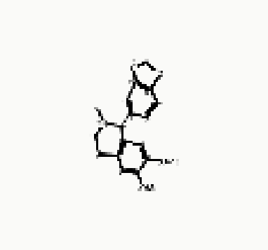 COc1cc2c(cc1OC)[C@H](c1ccc3c(c1)OCO3)N(C)CC2